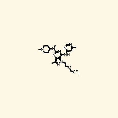 Cc1cc(Nc2nc(N(C)C3CCN(C)CC3)nc3c(C)nn(CCOCC(F)(F)F)c23)ncn1